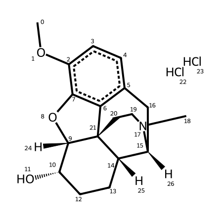 COc1ccc2c3c1O[C@H]1[C@@H](O)CC[C@H]4[C@@H](C2)N(C)CC[C@@]341.Cl.Cl